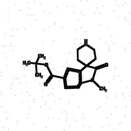 CN1C(=O)C2(CCNCC2)c2cc(C(=O)OC(C)(C)C)ccc21